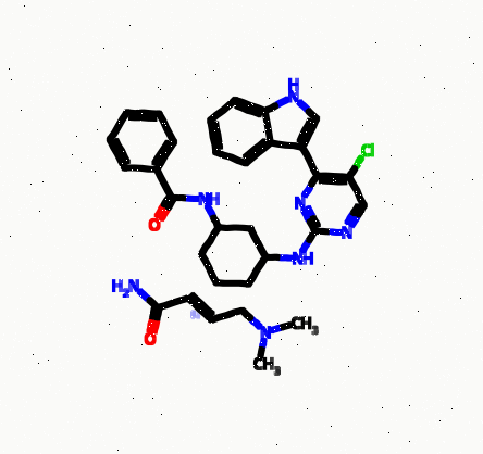 CN(C)C/C=C/C(N)=O.O=C(NC1CCCC(Nc2ncc(Cl)c(-c3c[nH]c4ccccc34)n2)C1)c1ccccc1